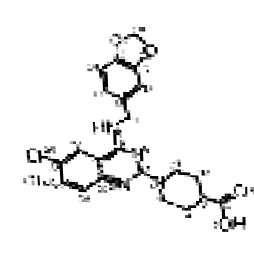 O=C(O)C1CCN(c2nc(NCc3ccc4c(c3)OCO4)c3cc(Cl)ccc3n2)CC1.[Na]